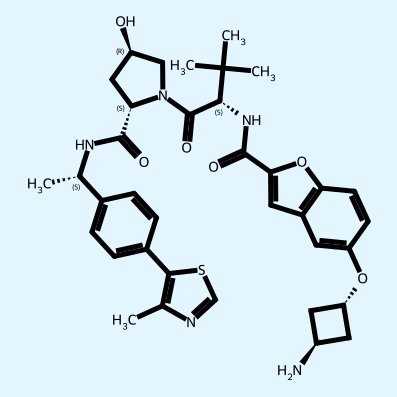 Cc1ncsc1-c1ccc([C@H](C)NC(=O)[C@@H]2C[C@@H](O)CN2C(=O)[C@@H](NC(=O)c2cc3cc(O[C@H]4C[C@H](N)C4)ccc3o2)C(C)(C)C)cc1